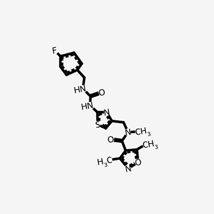 Cc1noc(C)c1C(=O)N(C)Cc1csc(NC(=O)NCc2ccc(F)cc2)n1